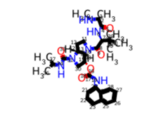 CN[C@@H](C)C(=O)N[C@H](C(=O)N1CC[C@@H]2[C@H]1[C@@H](OC(=O)Nc1cccc3ccccc13)CN2C(=O)NC(C)C)C(C)(C)C